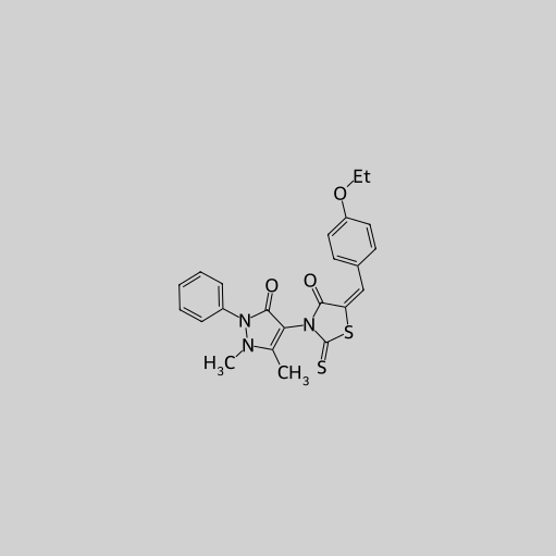 CCOc1ccc(C=C2SC(=S)N(c3c(C)n(C)n(-c4ccccc4)c3=O)C2=O)cc1